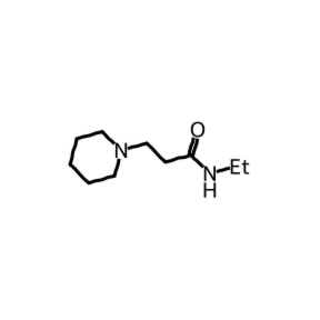 CCNC(=O)CCN1CCCCC1